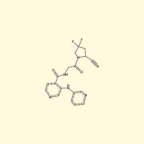 N#CC1CC(F)(F)CN1C(=O)CNC(=O)c1ccncc1Nc1cccnc1